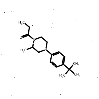 CCC(=O)N1CCN(c2ccc(C(C)(C)C)cc2)CC1C